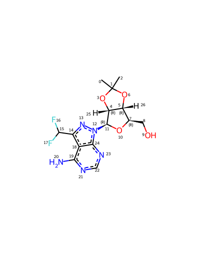 CC1(C)O[C@@H]2[C@H](O1)[C@@H](CO)O[C@H]2n1nc(C(F)F)c2c(N)ncnc21